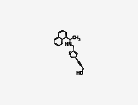 CC(NCc1cc(C#CCO)cs1)c1cccc2ccccc12